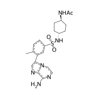 CC(=O)N[C@H]1CC[C@H](NS(=O)(=O)c2ccc(C)c(-c3cnc4c(N)nccn34)c2)CC1